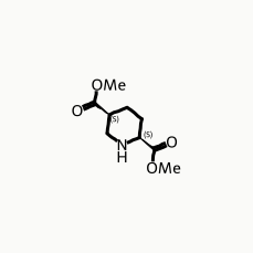 COC(=O)[C@H]1CC[C@@H](C(=O)OC)NC1